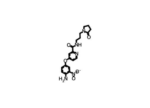 Nc1ccc(Oc2ccnc(C(=O)NCCCN3CCCC3=O)c2)cc1[N+](=O)[O-]